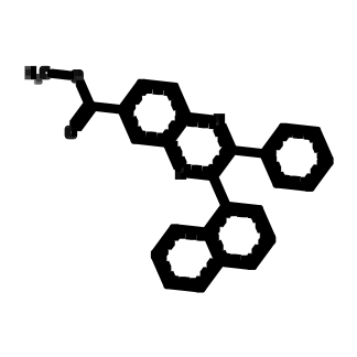 COC(=O)c1ccc2nc(-c3ccccc3)c(-c3cccc4ccccc34)nc2c1